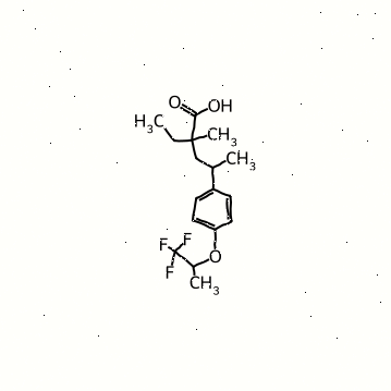 CCC(C)(CC(C)c1ccc(OC(C)C(F)(F)F)cc1)C(=O)O